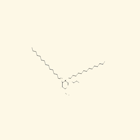 CCCCCCCCCCCCCCO[C@]1(O)[C@@H](OCCC)O[C@H](CO)[C@@H](O)[C@@]1(O)OCCCCCCCCCCCCCC